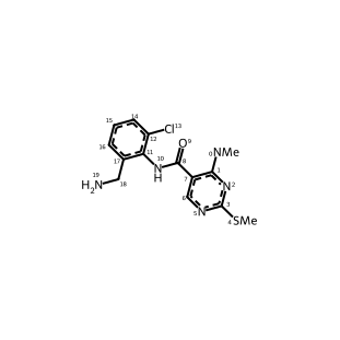 CNc1nc(SC)ncc1C(=O)Nc1c(Cl)cccc1CN